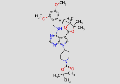 COc1ccc(CNc2ncnc3c2c(B2OC(C)(C)C(C)(C)O2)cn3C2CCN(C(=O)OC(C)(C)C)CC2)c(OC)c1